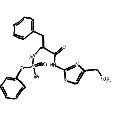 CCCP(=O)(NC(Cc1ccccc1)C(=O)Nc1nc(CC(=O)OCC)cs1)Oc1ccccc1